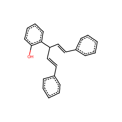 Oc1ccccc1C(C=Cc1ccccc1)C=Cc1ccccc1